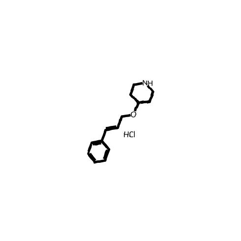 C(=C\c1ccccc1)/COC1CCNCC1.Cl